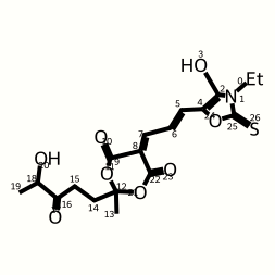 CCn1c(O)c(/C=C/C=C2C(=O)OC(C)(CCC(=O)C(C)O)OC2=O)oc1=S